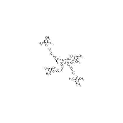 Cc1cc(C)c(OCCOCCOCCOCC(COCC(COCC(CO)OCCOCCOCCOc2c(C)cc(C)cc2C)OCCOCCOCCOc2c(C)cc(C)cc2C)OCCOCCOCCOc2c(C)cc(C)cc2C)c(C)c1